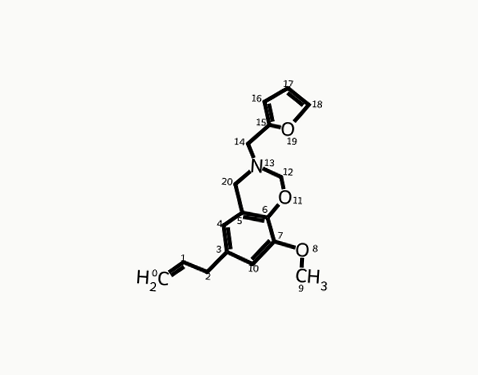 C=CCc1cc2c(c(OC)c1)OCN(Cc1ccco1)C2